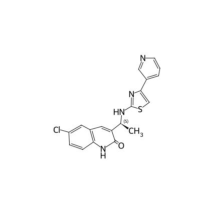 C[C@H](Nc1nc(-c2cccnc2)cs1)c1cc2cc(Cl)ccc2[nH]c1=O